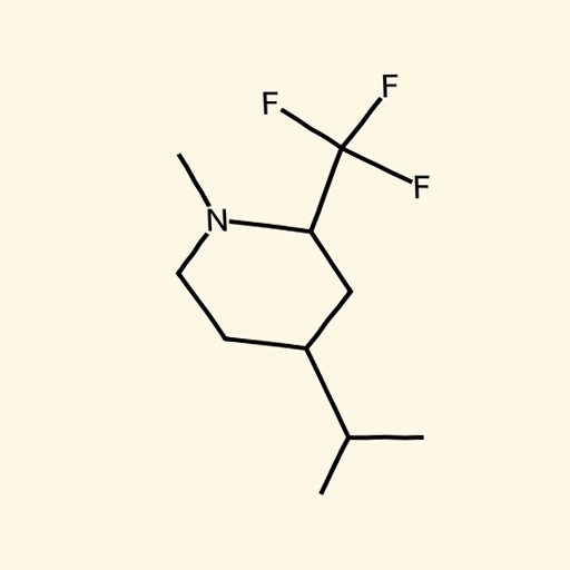 CC(C)C1CCN(C)C(C(F)(F)F)C1